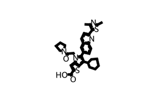 Cc1nc(C)c(-c2ccc3cc(-c4c(C5CCCCC5)c5sc(C(=O)O)cc5n4CC(=O)N4CCCC4)ccc3n2)s1